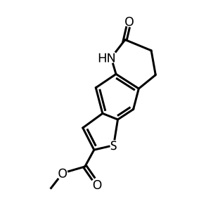 COC(=O)c1cc2cc3c(cc2s1)CCC(=O)N3